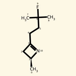 C[C@H]1CC(CCC(C)(C)F)=N1